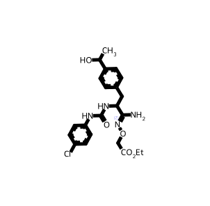 CCOC(=O)CO/N=C(\N)C(Cc1ccc(C(C)O)cc1)NC(=O)Nc1ccc(Cl)cc1